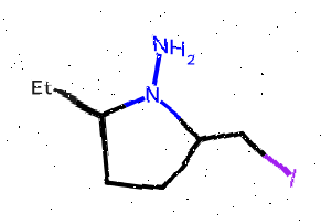 CCC1CCC(CI)N1N